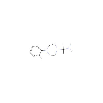 CCN(C)C(C)(C)N1CCN(c2ccccc2Cl)CC1